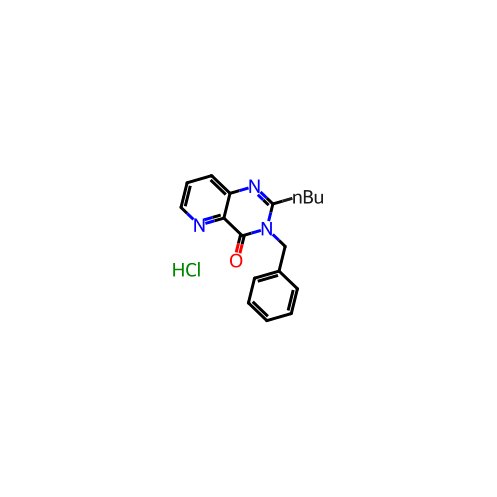 CCCCc1nc2cccnc2c(=O)n1Cc1ccccc1.Cl